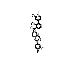 O=C(c1cccc(-c2cc[nH]c(=O)c2)c1Cl)N1CCN2C[C@@H](c3ccc(F)c(Cl)c3)OC[C@@H]2C1